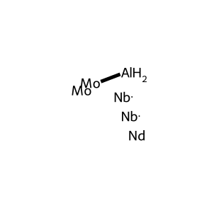 [AlH2][Mo].[Mo].[Nb].[Nb].[Nd]